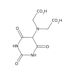 O=C(O)CN(CC(=O)O)C1C(=O)NC(=O)NC1=O